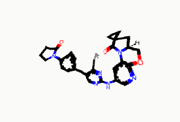 CC(C)c1nc(Nc2cnc3c(c2)N2C(=O)C4(CC4)C[C@H]2CO3)ncc1-c1ccc(N2CCCC2=O)cc1